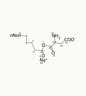 CCCCCCCCCCCCCC(=O)OC(=O)C(N)CC(=O)[O-].[Na+]